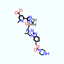 [2H]C([2H])([2H])n1ncc(-c2cc(C(=O)OC)cc(C)n2)c1OCCCC(C)Cn1c(N)nc2ccc(COC(=O)N3CCNCC3)cc21